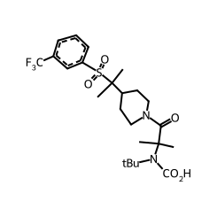 CC(C)(C)N(C(=O)O)C(C)(C)C(=O)N1CCC(C(C)(C)S(=O)(=O)c2cccc(C(F)(F)F)c2)CC1